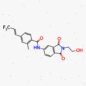 Cc1cc(C=CC(F)(F)F)ccc1C(=O)Nc1ccc2c(c1)C(=O)N(CCO)C2=O